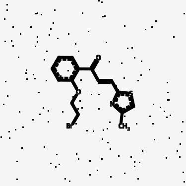 Cc1csc(C=CC(=O)c2ccccc2OCCBr)n1